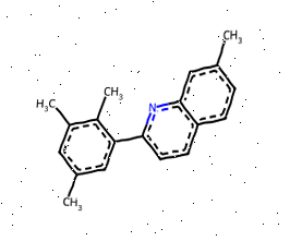 Cc1cc(C)c(C)c(-c2ccc3ccc(C)cc3n2)c1